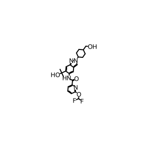 CC(C)(O)c1cc2nn(C3CCC(CO)CC3)cc2cc1NC(=O)c1cccc(OC(F)F)n1